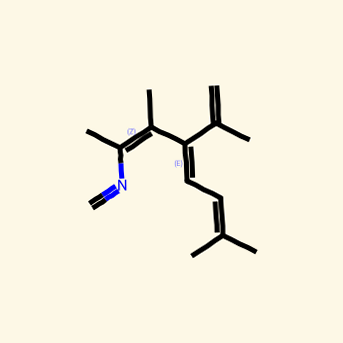 C=N/C(C)=C(C)\C(=C\C=C(C)C)C(=C)C